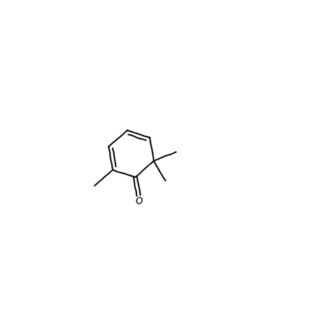 CC1=CC=CC(C)(C)C1=O